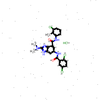 Cc1c(Cl)cccc1NC(=O)c1cc(NC(=O)c2cc(Cl)ccc2Cl)cc2[nH]c(N(C)C)nc12.Cl